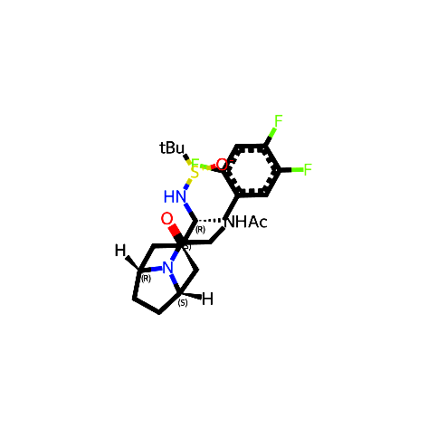 CC(=O)NCC(=O)N1[C@@H]2CC[C@H]1C[C@H]([C@@H](Cc1cc(F)c(F)cc1F)N[S+]([O-])C(C)(C)C)C2